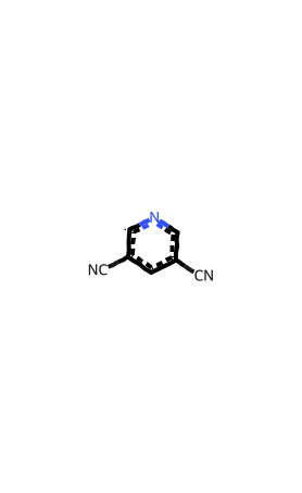 N#Cc1[c]ncc(C#N)c1